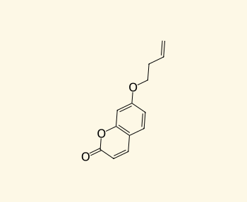 C=CCCOc1ccc2ccc(=O)oc2c1